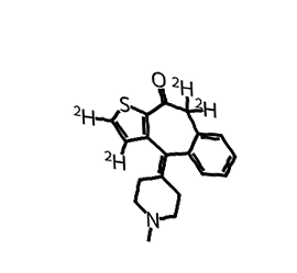 [2H]c1sc2c(c1[2H])C(=C1CCN(C)CC1)c1ccccc1C([2H])([2H])C2=O